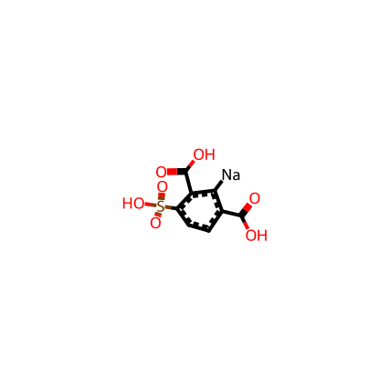 O=C(O)c1ccc(S(=O)(=O)O)c(C(=O)O)[c]1[Na]